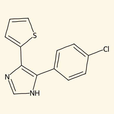 Clc1ccc(-c2[nH]cnc2-c2cccs2)cc1